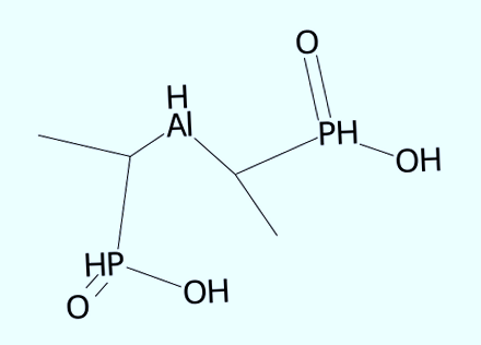 C[CH]([AlH][CH](C)[PH](=O)O)[PH](=O)O